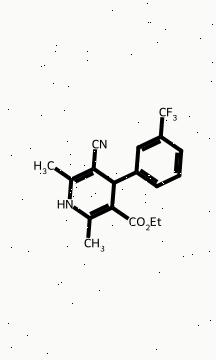 CCOC(=O)C1=C(C)NC(C)=C(C#N)C1c1cccc(C(F)(F)F)c1